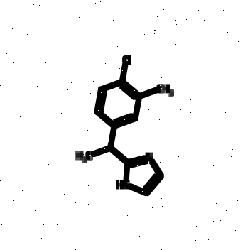 Cc1cc(C(C)c2ncc[nH]2)ccc1Cl